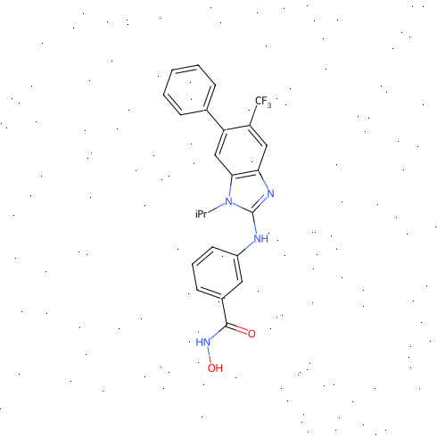 CC(C)n1c(Nc2cccc(C(=O)NO)c2)nc2cc(C(F)(F)F)c(-c3ccccc3)cc21